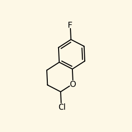 Fc1ccc2c(c1)CCC(Cl)O2